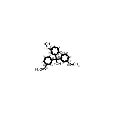 COc1ccc(O)c(C(O)(c2cccc(SC)c2)c2cccc(SC)c2)c1